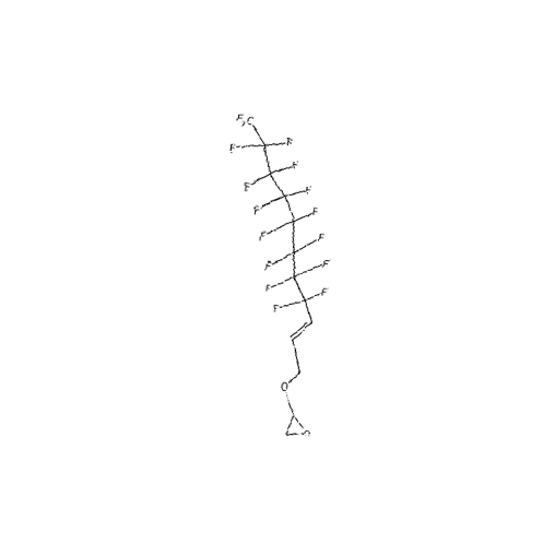 FC(F)(F)C(F)(F)C(F)(F)C(F)(F)C(F)(F)C(F)(F)C(F)(F)C(F)(F)C=CCOC1CO1